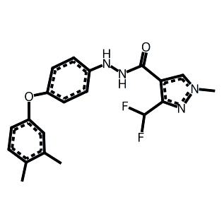 Cc1ccc(Oc2ccc(NNC(=O)c3cn(C)nc3C(F)F)cc2)cc1C